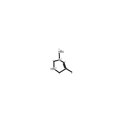 CCCCN1C=C(C)CNC1